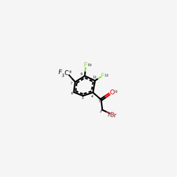 O=C(CBr)c1ccc(C(F)(F)F)c(F)c1F